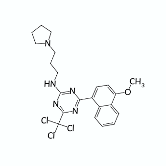 COc1ccc(-c2nc(NCCCN3CCCC3)nc(C(Cl)(Cl)Cl)n2)c2ccccc12